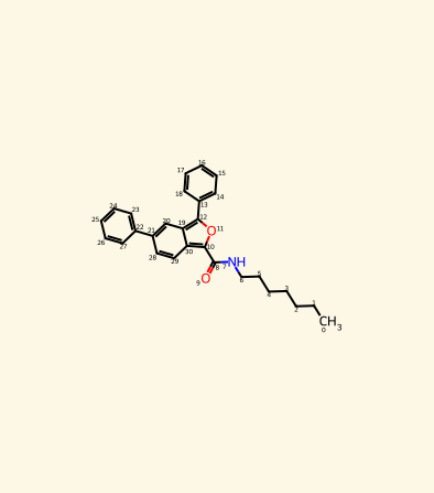 CCCCCCCNC(=O)c1oc(-c2ccccc2)c2cc(-c3ccccc3)ccc12